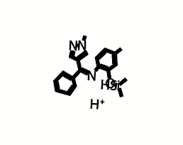 Cc1ccc(N=C(c2ccccc2)c2cnn(C)c2)c(O[SiH](C)C)c1.[H+]